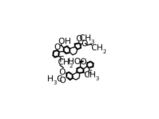 C=CCOc1cc2c(cc1OC)-c1cc(C(=O)O)c(-c3ccccc3F)cc1CC2.C=CCOc1cc2c(cc1OC)CCc1c-2cc(C(=O)O)c(-c2ccccc2F)c1C